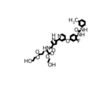 Cc1cccc(NC(=O)Nc2ccc(Oc3ccnc(-c4cc(C(=O)N[C@@H](CCC(=O)OCCO)C(=O)OCCO)c[nH]4)c3)cc2F)c1